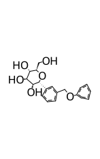 OC[C@H]1O[C@H](c2cccc(COc3ccccc3)c2)[C@@H](O)[C@@H](O)[C@@H]1O